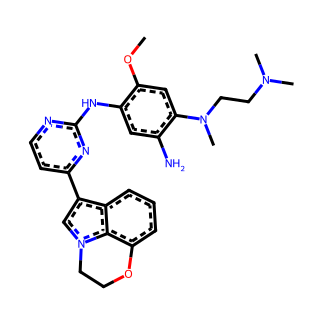 COc1cc(N(C)CCN(C)C)c(N)cc1Nc1nccc(-c2cn3c4c(cccc24)OCC3)n1